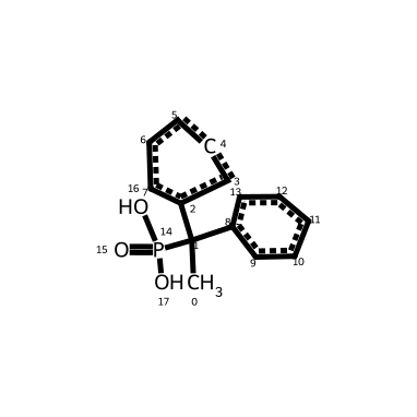 CC(c1ccccc1)(c1ccccc1)P(=O)(O)O